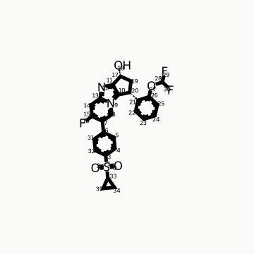 O=S(=O)(c1ccc(-c2cn3c4c(nc3cc2F)[C@H](O)C[C@@H]4c2ccccc2OC(F)F)cc1)C1CC1